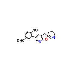 O=Cc1ccc(N=O)c(-c2cnc3c(c2)C[C@@]2(CN4CCC2CC4)O3)c1